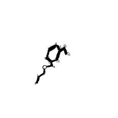 C=CCOCc1cccc(C=C)c1